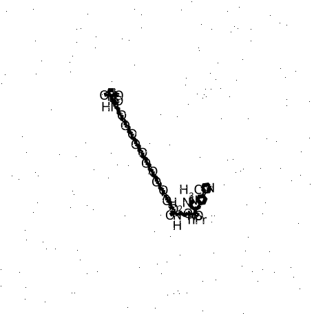 CCCN(OCCNC(=O)OCCOCCOCCOCCOCCOCCOCCOCCOCCOCCOCCNC(=O)CN1C(=O)C=CC1=O)C(=O)C1=Cc2ccc(-c3cnccc3C)cc2N=C(N)C1